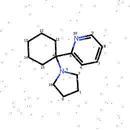 [CH]1CCN(C2(c3ccccn3)CCCCC2)C1